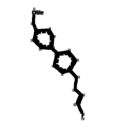 COCc1ccc(-c2ccc(CCC=CF)cc2)cc1